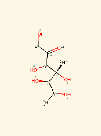 [2H]C(O)[C@@H](O)[C@@]([2H])(O)[C@H](O)C(=O)CO